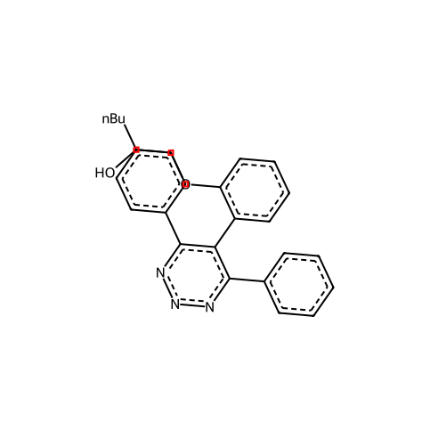 CCCCC(O)COc1ccccc1-c1c(-c2ccccc2)nnnc1-c1ccccc1